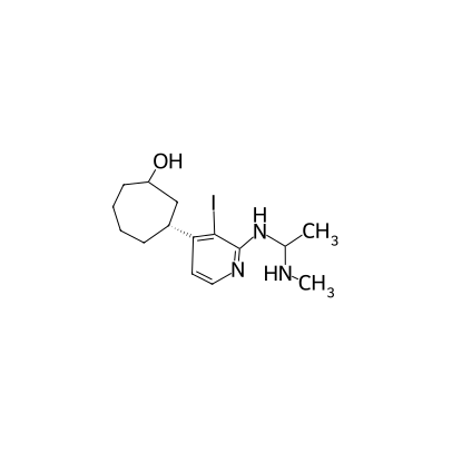 CNC(C)Nc1nccc([C@@H]2CCCCC(O)C2)c1I